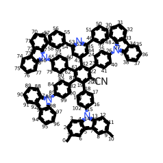 Cc1ccc2c(c1)c1cc(C)ccc1n2-c1ccc(-c2c(C#N)c(-c3ccc(-n4c5ccccc5c5ccccc54)cc3)c(-c3cc(-c4ccccc4)nc(-c4ccccc4)c3)c(-c3ccc(-n4c5ccccc5c5ccccc54)cc3)c2-c2ccc(-n3c4ccccc4c4ccccc43)cc2)cc1